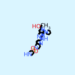 CC(O)c1cc2cnc(Nc3ccc4c(n3)CCN(S(=O)(=O)C3CCNCC3)C4)nc2c(N2CCCCC2)n1